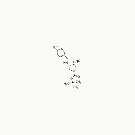 [B+2]c1ccc(CNC2CCN(C(=O)OC(C)(C)C)C2)cc1.[OH-].[OH-]